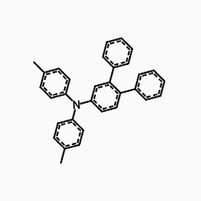 Cc1ccc(N(c2ccc(C)cc2)c2ccc(-c3ccccc3)c(-c3ccccc3)c2)cc1